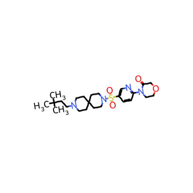 CC(C)(C)CCN1CCC2(CC1)CCN(S(=O)(=O)c1ccc(N3CCOCC3=O)nc1)CC2